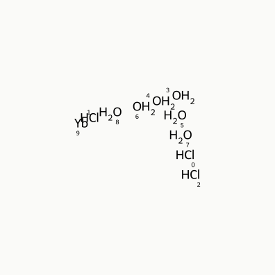 Cl.Cl.Cl.O.O.O.O.O.O.[Yb]